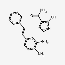 NC(=O)c1ccnn1O.Nc1ccc(C=Cc2ccccc2)cc1N